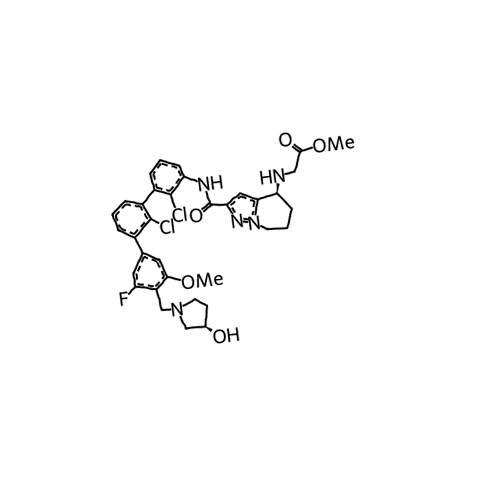 COC(=O)CN[C@H]1CCCn2nc(C(=O)Nc3cccc(-c4cccc(-c5cc(F)c(CN6CC[C@@H](O)C6)c(OC)c5)c4Cl)c3Cl)cc21